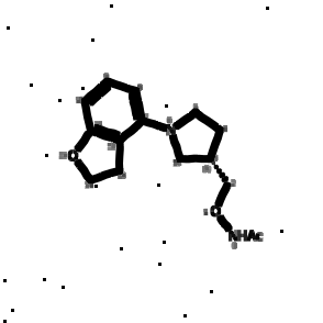 CC(=O)NOC[C@H]1CCN(c2cccc3c2CCO3)C1